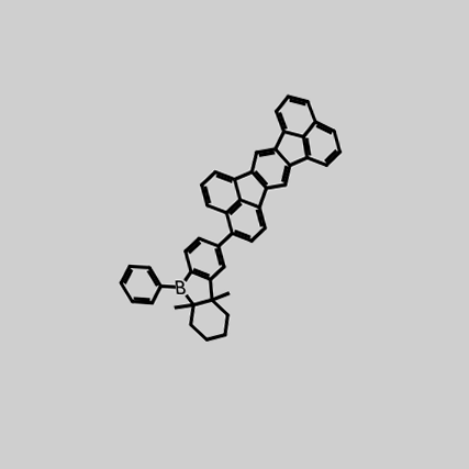 CC12CCCCC1(C)c1cc(-c3ccc4c5cc6c(cc5c5cccc3c54)c3cccc4cccc6c43)ccc1B2c1ccccc1